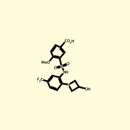 COc1ccc(C(=O)O)cc1S(=O)(=O)Nc1cc(C(F)(F)F)ccc1N1CC(O)C1